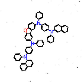 c1ccc(N(c2ccc(N(c3ccccc3)c3ccc4oc5ccc(N(c6ccccc6)c6ccc(N(c7ccccc7)c7cccc8ccccc78)cc6)cc5c4c3)cc2)c2ccc3ccccc3c2)cc1